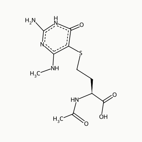 CNc1nc(N)[nH]c(=O)c1SCC[C@H](NC(C)=O)C(=O)O